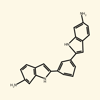 Nc1ccc2cc(-c3cccc(-c4cc5ccc(N)cc5[nH]4)c3)[nH]c2c1